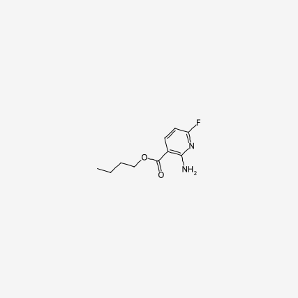 CCCCOC(=O)c1ccc(F)nc1N